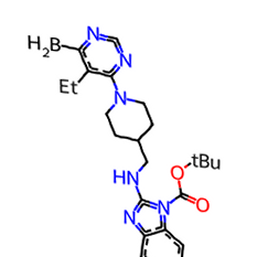 Bc1ncnc(N2CCC(CNc3nc4ccc(OC)cc4n3C(=O)OC(C)(C)C)CC2)c1CC